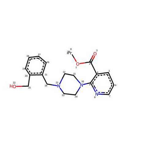 CC(C)OC(=O)c1cccnc1N1CCN(Cc2ccccc2CO)CC1